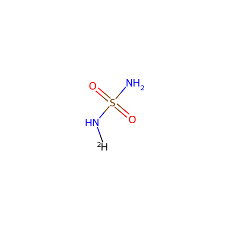 [2H]NS(N)(=O)=O